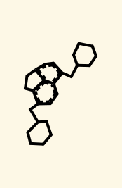 c1cc2c(CC3CCCCC3)ccc3c2c(c1CC1CCCCC1)CC3